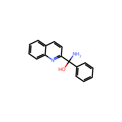 NC(O)(c1ccccc1)c1ccc2ccccc2n1